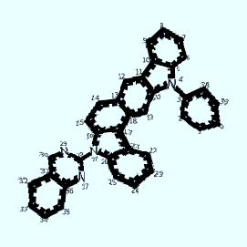 c1ccc(-n2c3ccccc3c3cc4ccc5c(c4cc32)c2ccccc2n5-c2ncc3ccccc3n2)cc1